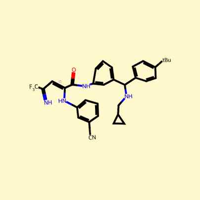 CC(C)(C)c1ccc(C(NCC2CC2)c2cccc(NC(=O)/C(=C/C(=N)C(F)(F)F)Nc3cccc(C#N)c3)c2)cc1